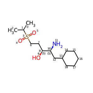 CC(C)S(=O)(=O)CC[C@H](O)[C@@H](N)CC1CCCCC1